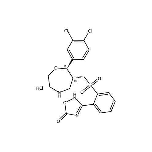 Cl.O=c1nc(-c2ccccc2S(=O)(=O)C[C@@H]2CNCCO[C@H]2c2ccc(Cl)c(Cl)c2)[nH]o1